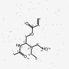 C=CC(=O)OCC(NC(C)=O)N(CC)CC.Cl